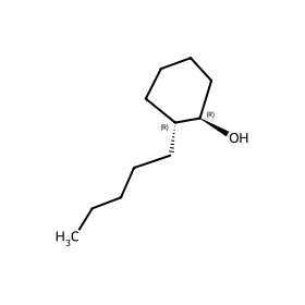 CCCCC[C@@H]1CCCC[C@H]1O